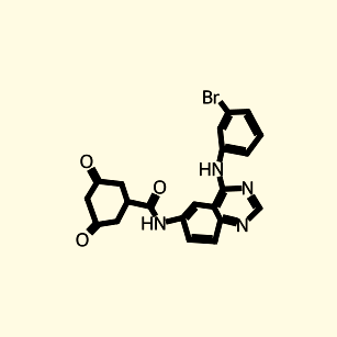 O=C1CC(=O)CC(C(=O)Nc2ccc3ncnc(Nc4cccc(Br)c4)c3c2)C1